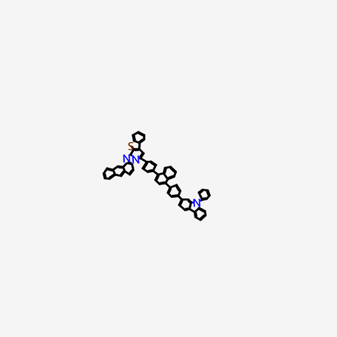 c1ccc(-n2c3ccccc3c3ccc(-c4ccc(-c5ccc(-c6ccc(-c7cc8c9ccccc9sc8c8nc9c%10cc%11ccccc%11cc%10ccc9n78)cc6)c6ccccc56)cc4)cc32)cc1